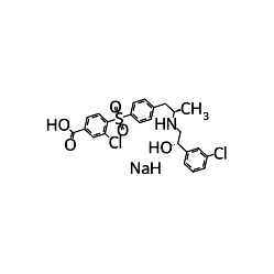 C[C@H](Cc1ccc(S(=O)(=O)c2ccc(C(=O)O)cc2Cl)cc1)NC[C@@H](O)c1cccc(Cl)c1.[NaH]